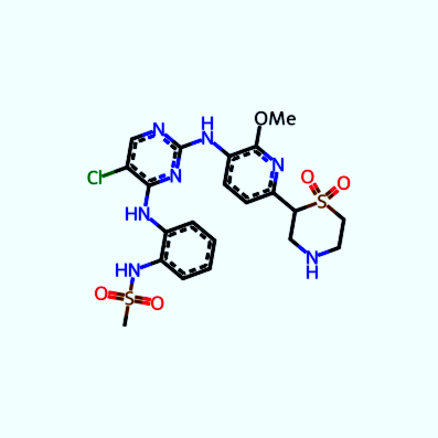 COc1nc(C2CNCCS2(=O)=O)ccc1Nc1ncc(Cl)c(Nc2ccccc2NS(C)(=O)=O)n1